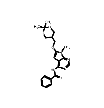 Cn1c(OCC2COC(C)(C)OC2)nc2c(NC(=O)c3ccccc3)ncnc21